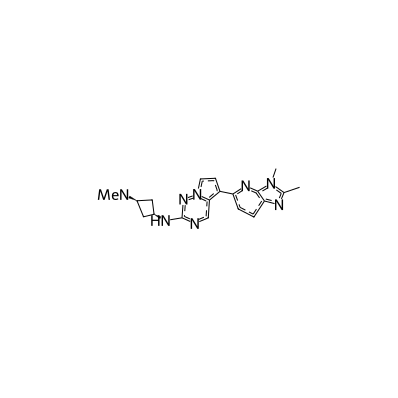 CN[C@H]1C[C@@H](Nc2ncc3c(-c4ccc5nc(C)n(C)c5n4)ccn3n2)C1